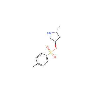 Cc1ccc(S(=O)(=O)O[C@H]2CN[C@H](C)C2)cc1